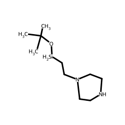 CC(C)(C)O[SiH2]CCN1CCNCC1